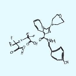 N#Cc1ccc(CNC(=O)c2nc(N3CCOCC3)n3ccccc23)cc1.O=C(O)C(F)(F)F.O=C(O)C(F)(F)F